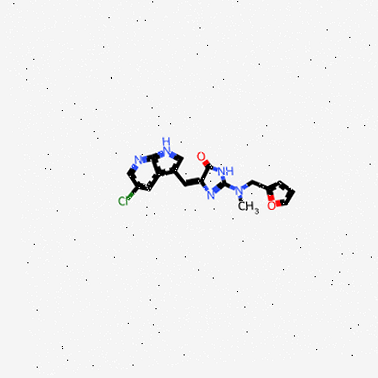 CN(Cc1ccco1)C1=NC(=Cc2c[nH]c3ncc(Cl)cc23)C(=O)N1